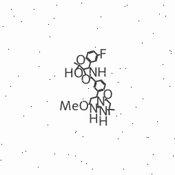 COCCC(c1cccc(C(=O)NC2c3cc(F)ccc3OC(C)(C)C2(C)O)c1)N1C(=N)NC(C)(C)CC1=O